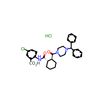 Cl.O=C(O)c1cc(Cl)ccc1NC(=O)[C@H]1CCCC[C@@H]1C(=O)N1CCN(C(c2ccccc2)c2ccccc2)CC1